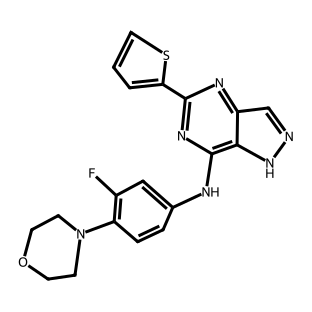 Fc1cc(Nc2nc(-c3cccs3)nc3cn[nH]c23)ccc1N1CCOCC1